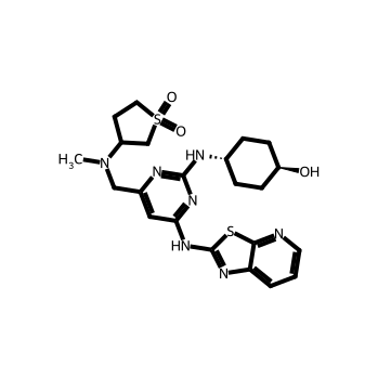 CN(Cc1cc(Nc2nc3cccnc3s2)nc(N[C@H]2CC[C@H](O)CC2)n1)C1CCS(=O)(=O)C1